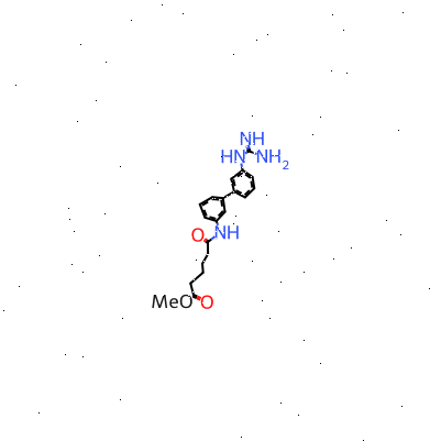 COC(=O)CCCCC(=O)Nc1cccc(-c2cccc(NC(=N)N)c2)c1